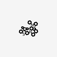 c1ccc(N(c2ccccc2)c2ccc(N(c3ccccc3)c3ccc4c(c3)C3(c5ccccc5S4)c4ccccc4-c4ccccc43)c3c2sc2ccccc23)cc1